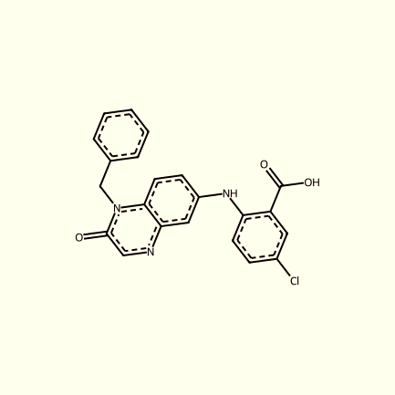 O=C(O)c1cc(Cl)ccc1Nc1ccc2c(c1)ncc(=O)n2Cc1ccccc1